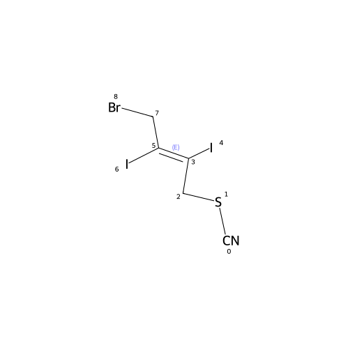 N#CSC/C(I)=C(\I)CBr